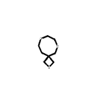 C1COCC2(CCO1)CSC2